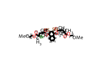 COCCOC(=O)C(C)(C)CC(C)(C)C(=O)Oc1c(S)c(S)c(OC(=O)C(C)(C)CC(C)(Br)C(=O)OCCOC)c2ccccc12